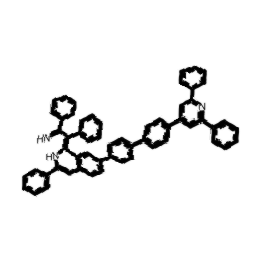 N=C(/C(=C1\NC(c2ccccc2)=Cc2ccc(-c3ccc(-c4ccc(-c5cc(-c6ccccc6)nc(-c6ccccc6)c5)cc4)cc3)cc21)c1ccccc1)c1ccccc1